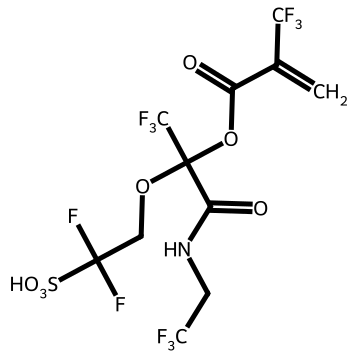 C=C(C(=O)OC(OCC(F)(F)S(=O)(=O)O)(C(=O)NCC(F)(F)F)C(F)(F)F)C(F)(F)F